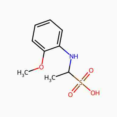 COc1ccccc1NC(C)S(=O)(=O)O